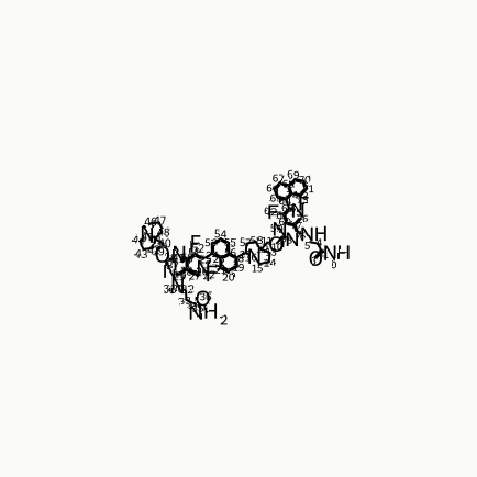 CNC(=O)CCNc1nc(OCC23CCCN2C(c2ccc(F)c4c(-c5ncc6c(N(C)CCC(N)=O)nc(OCC78CCCN7CCC8)nc6c5F)cccc24)CC3)nc2c(F)c(-c3cccc4cccc(F)c34)ncc12